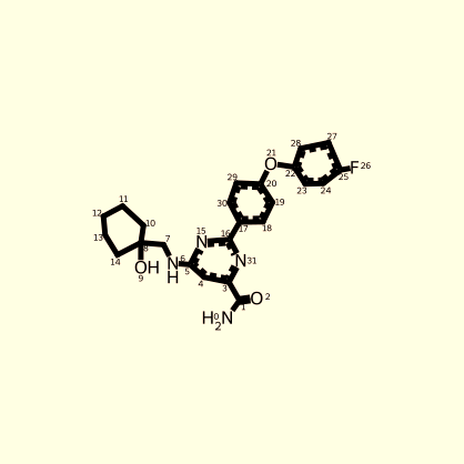 NC(=O)c1cc(NCC2(O)CCCCC2)nc(-c2ccc(Oc3ccc(F)cc3)cc2)n1